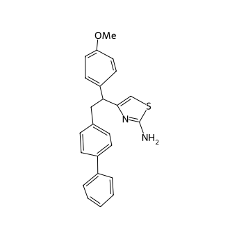 COc1ccc(C(Cc2ccc(-c3ccccc3)cc2)c2csc(N)n2)cc1